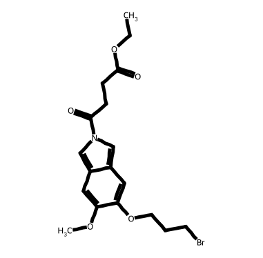 CCOC(=O)CCC(=O)n1cc2cc(OC)c(OCCCBr)cc2c1